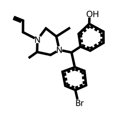 C=CCN1CC(C)N(C(c2ccc(Br)cc2)c2cccc(O)c2)CC1C